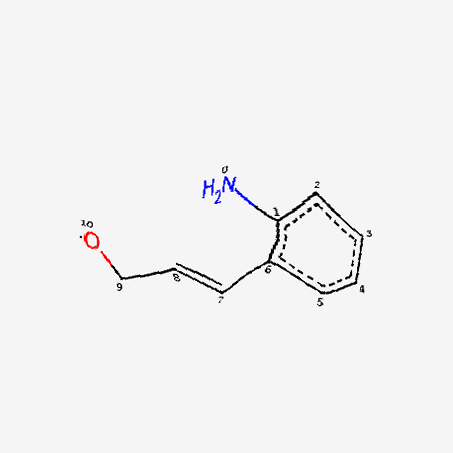 Nc1ccccc1C=CC[O]